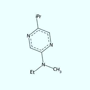 CCN(C)c1cnc(C(C)C)cn1